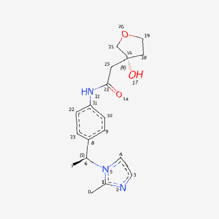 Cc1nccn1[C@@H](C)c1ccc(NC(=O)C[C@]2(O)CCOC2)cc1